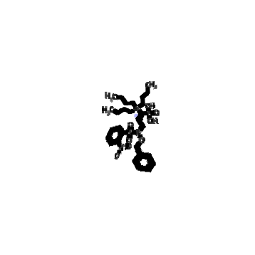 CCC[CH2][Sn]([CH2]CCC)([CH2]CCC)/[C](=C/CN(OCc1ccccc1)S(=O)(=O)c1ccccc1[N+](=O)[O-])P(=O)(O)O